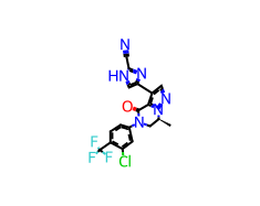 C[C@H]1CN(c2ccc(C(F)(F)F)c(Cl)c2)C(=O)c2c(-c3c[nH]c(C#N)n3)cnn21